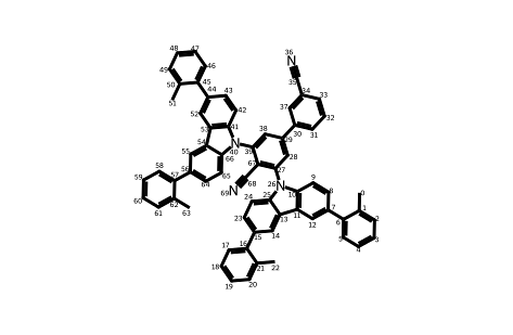 Cc1ccccc1-c1ccc2c(c1)c1cc(-c3ccccc3C)ccc1n2-c1cc(-c2cccc(C#N)c2)cc(-n2c3ccc(-c4ccccc4C)cc3c3cc(-c4ccccc4C)ccc32)c1C#N